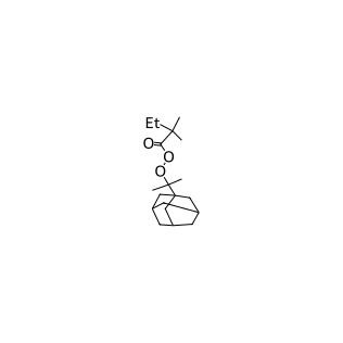 CCC(C)(C)C(=O)OOC(C)(C)C12CC3CC(CC(C3)C1)C2